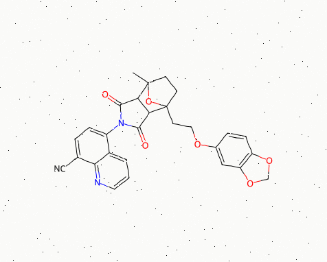 CC12CCC(CCOc3ccc4c(c3)OCO4)(O1)C1C(=O)N(c3ccc(C#N)c4ncccc34)C(=O)C12